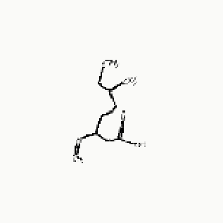 C=NC(CCC(C)CC)CC(=O)O